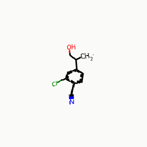 [CH2]C(CO)c1ccc(C#N)c(Cl)c1